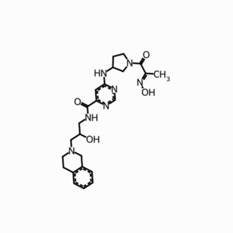 CC(=NO)C(=O)N1CCC(Nc2cc(C(=O)NCC(O)CN3CCc4ccccc4C3)ncn2)C1